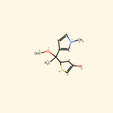 Cn1ccc(C(C)(OC=O)C2CC(Br)=CS2)c1